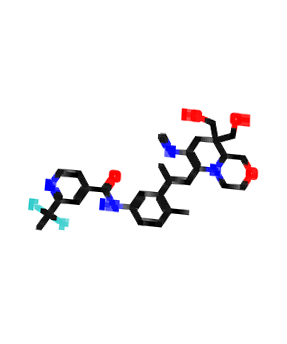 C=NC1=C(/C=C(\C)c2cc(NC(=O)c3ccnc(C(C)(F)F)c3)ccc2C)N2CCOCC2C(CO)(CO)C1